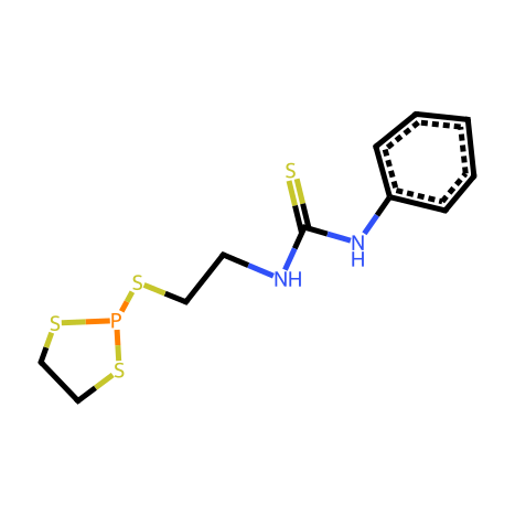 S=C(NCCSP1SCCS1)Nc1ccccc1